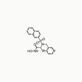 CC(C)C(C(=O)NO)N(Cc1cccnc1)S(=O)(=O)c1ccc2ccccc2c1